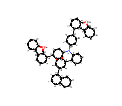 c1cc(-c2ccccc2N(c2ccc(-c3cccc4c3oc3ccccc34)cc2)c2ccc(-c3cccc4oc5ccccc5c34)cc2)cc(-c2cccc3ccccc23)c1